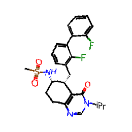 CC(C)n1cnc2c(c1=O)[C@@H](Cc1cccc(-c3ccccc3F)c1F)[C@@H](NS(C)(=O)=O)CC2